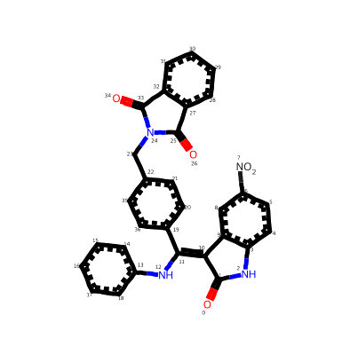 O=C1Nc2ccc([N+](=O)[O-])cc2C1=C(Nc1ccccc1)c1ccc(CN2C(=O)c3ccccc3C2=O)cc1